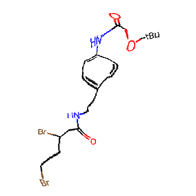 CC(C)(C)OC(=O)Nc1ccc(CNC(=O)C(Br)CCBr)cc1